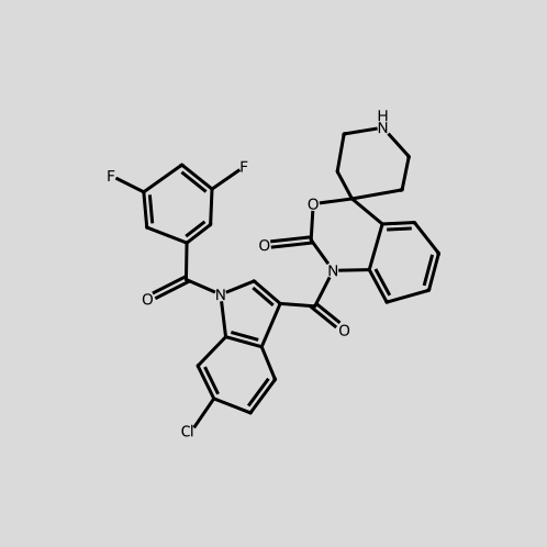 O=C1OC2(CCNCC2)c2ccccc2N1C(=O)c1cn(C(=O)c2cc(F)cc(F)c2)c2cc(Cl)ccc12